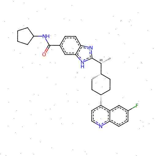 C[C@@H](c1nc2ccc(C(=O)NC3CCCC3)cc2[nH]1)[C@H]1CC[C@@H](c2ccnc3ccc(F)cc32)CC1